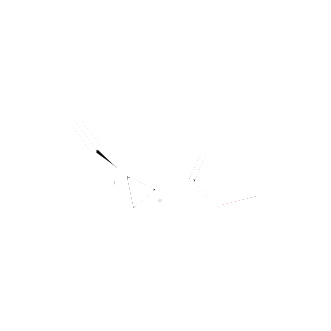 C#C[C@@H]1C[C@H]1C(=O)OC